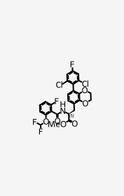 COC(=O)[C@H](Cc1ccc(-c2c(Cl)cc(F)cc2Cl)c2c1OCCO2)NC(=O)c1c(F)cccc1OC(F)F